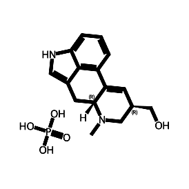 CN1C[C@H](CO)C=C2c3cccc4[nH]cc(c34)C[C@H]21.O=P(O)(O)O